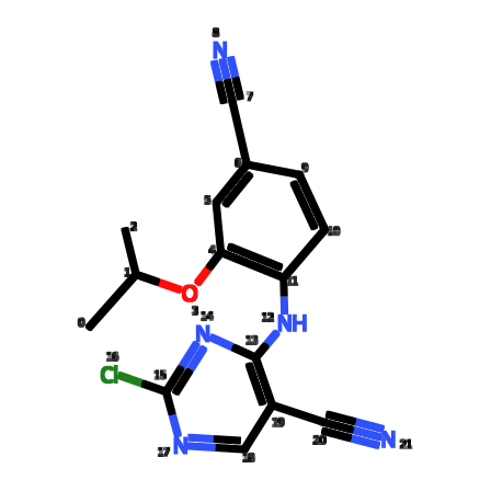 CC(C)Oc1cc(C#N)ccc1Nc1nc(Cl)ncc1C#N